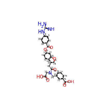 N=C(N)Nc1ccc(C(=O)Oc2ccc3c(CC(=O)N(CC(=O)O)Cc4cccc(C(=O)O)c4)coc3c2)cc1